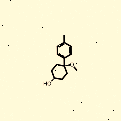 CO[C@]1(c2ccc(C)cc2)CC[C@H](O)CC1